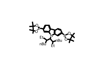 CCCCC(CC)C(C(CC)CCCC)n1c2cc(B3OC(C)(C)C(C)(C)O3)ccc2c2ccc(B3OC(C)(C)C(C)(C)O3)cc21